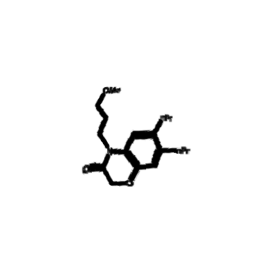 CCCc1cc2c(cc1CCC)N(CCCOC)C(=O)CO2